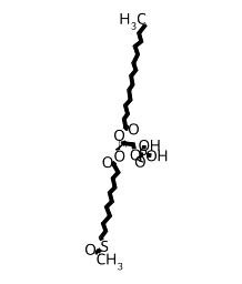 CCCCCCCCCCCCCCCC(=O)O[C@H](COC(=O)CCCCCCCCCCSC(C)=O)COP(=O)(O)O